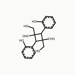 O=CC1(CO)C(c2ccccc2O)C(C=O)(CO)C1c1ccccc1O